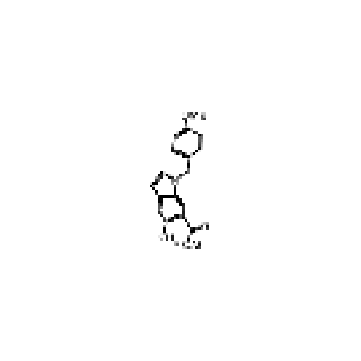 COC(=O)c1cc2c(ccn2Cc2ccc(OC)cc2)cc1C